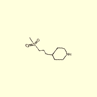 CS(=O)(=O)CC[CH]C1CCNCC1